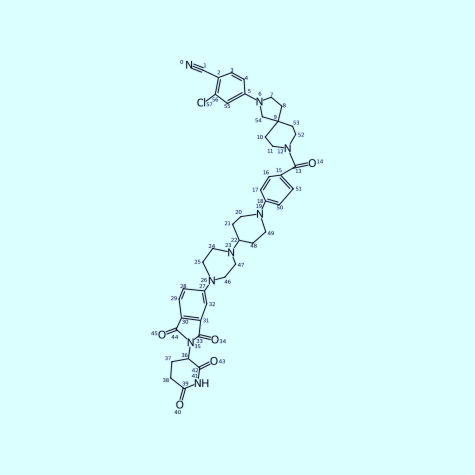 N#Cc1ccc(N2CCC3(CCN(C(=O)c4ccc(N5CCC(N6CCN(c7ccc8c(c7)C(=O)N(C7CCC(=O)NC7=O)C8=O)CC6)CC5)cc4)CC3)C2)cc1Cl